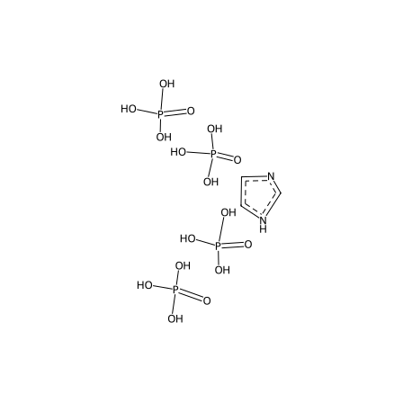 O=P(O)(O)O.O=P(O)(O)O.O=P(O)(O)O.O=P(O)(O)O.c1c[nH]cn1